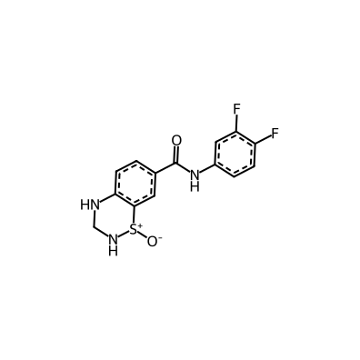 O=C(Nc1ccc(F)c(F)c1)c1ccc2c(c1)[S+]([O-])NCN2